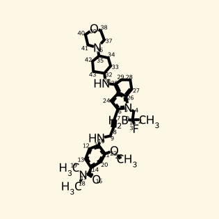 BC(C)(F)Cn1c(C#CCNc2ccc(C(=O)N(C)C)cc2OC)cc2c1=CCCC=2NC1CCC(N2CCOCC2)CC1